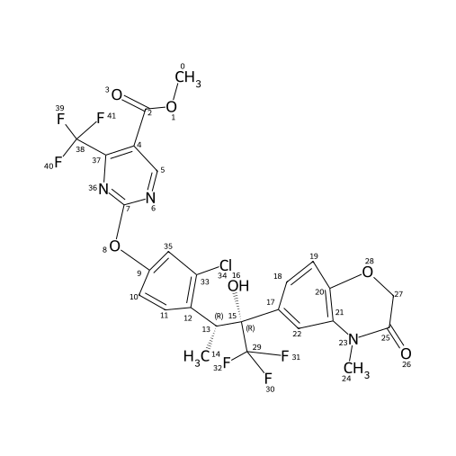 COC(=O)c1cnc(Oc2ccc([C@@H](C)[C@@](O)(c3ccc4c(c3)N(C)C(=O)CO4)C(F)(F)F)c(Cl)c2)nc1C(F)(F)F